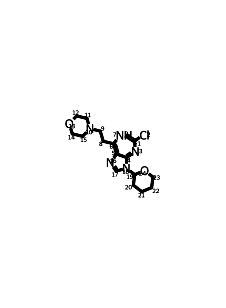 C=C(Cl)/N=C1\C(=C(/N)CCN2CCOCC2)N=CN1C1CCCCO1